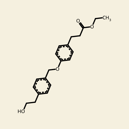 CCOC(=O)CCc1ccc(OCc2ccc(CCO)cc2)cc1